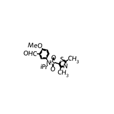 COc1ccc(N(C(C)C)S(=O)(=O)c2sc(C)nc2C)cc1C=O